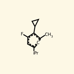 Cc1cc(C(C)C)cc(F)c1C1CC1